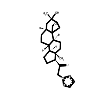 C[C@@]1(O)CCC2(CO)[C@@H](CC[C@@H]3[C@@H]2CC[C@]2(C)[C@@H](C(=O)Cn4nccn4)CC[C@@H]32)C1